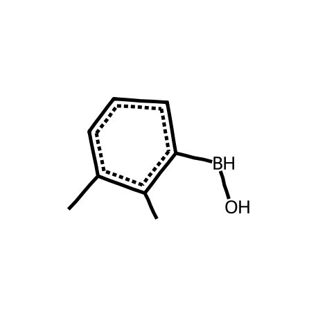 Cc1cccc(BO)c1C